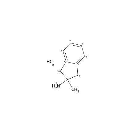 CC1(N)Cc2ccccc2C1.Cl